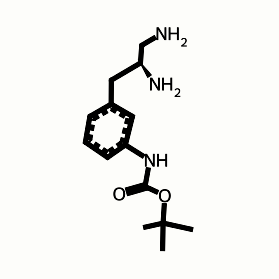 CC(C)(C)OC(=O)Nc1cccc(C[C@H](N)CN)c1